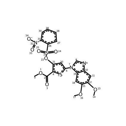 COC(=O)c1sc(-n2cnc3cc(OC)c(OC)cc32)cc1OS(=O)(=O)c1ccccc1[N+](=O)[O-]